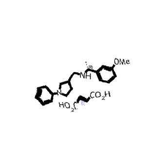 COc1cccc([C@@H](C)NCC2CCN(c3ccccc3)C2)c1.O=C(O)/C=C/C(=O)O